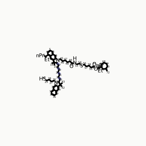 CCCC(CC)c1cccc2cc3c(cc12)C(C)(C)\C(=C/C=C/C=C/C=C/C1=[N+](CCCCS)c2cc4ccccc4cc2C1(C)C)N3CCCCCC(=O)NCCSCCCCC(=O)OC(CC)(CCC)C1CCCCC(C)C1